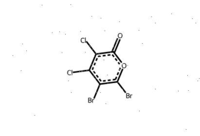 O=c1oc(Br)c(Br)c(Cl)c1Cl